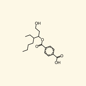 CCCCC(CC)C(CCO)OC(=O)c1ccc(C(=O)O)cc1